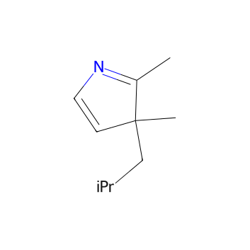 CC1=NC=CC1(C)CC(C)C